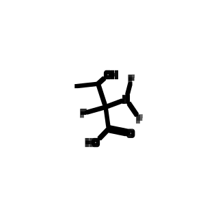 CC(O)C(F)(C(=O)O)N(F)F